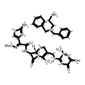 CON=C(C(=O)NC1C(=O)N2C(C(=O)O)=C(CSc3nc(=O)c(O)nn3C)CS[C@@H]12)c1csc(N)n1.NCCN(Cc1ccccc1)Cc1ccccc1